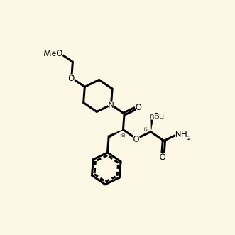 CCCC[C@H](O[C@@H](Cc1ccccc1)C(=O)N1CCC(OCOC)CC1)C(N)=O